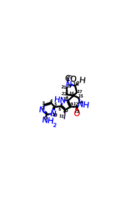 Nc1nccc(-c2[nH]c3c(c2I)C(=O)NCC32CCN(C(=O)O)CC2)n1